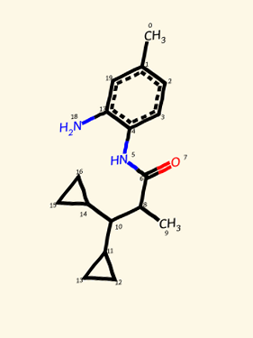 Cc1ccc(NC(=O)C(C)C(C2CC2)C2CC2)c(N)c1